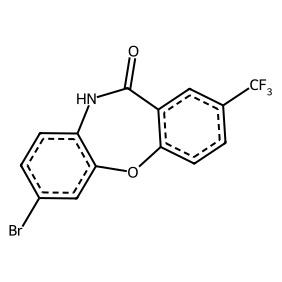 O=C1Nc2ccc(Br)cc2Oc2ccc(C(F)(F)F)cc21